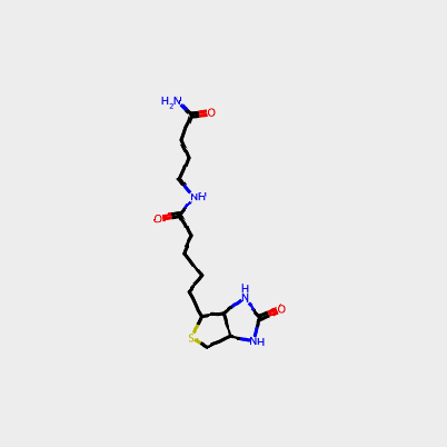 NC(=O)CCCNC(=O)CCCCC1SCC2NC(=O)NC21